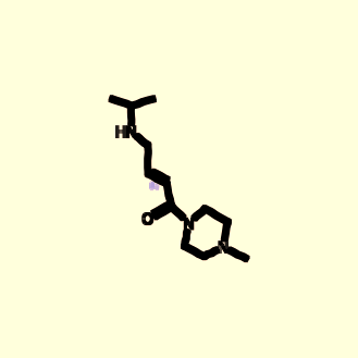 CC(C)NC/C=C/C(=O)N1CCN(C)CC1